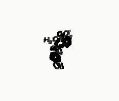 CC1CN(S(=O)(=O)c2ccc(O)cc2)Cc2ccccc2N1C(=O)C(F)(F)F